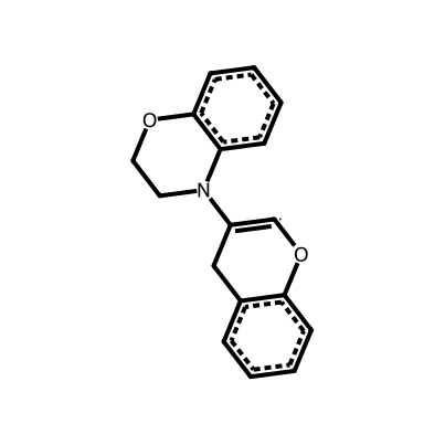 [C]1=C(N2CCOc3ccccc32)Cc2ccccc2O1